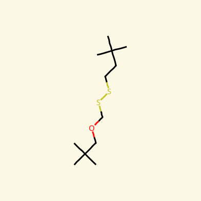 CC(C)(C)CCSSCOCC(C)(C)C